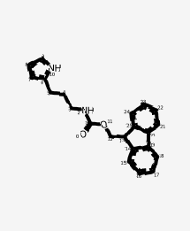 O=C(NCCCc1ccc[nH]1)OCC1c2ccccc2-c2ccccc21